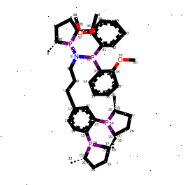 CC[C@@H]1CC[C@@H](C)P1N(CCCc1ccc(P2[C@@H](C)CC[C@@H]2C)c(P2[C@@H](C)CC[C@@H]2C)c1)P(c1ccccc1OC)c1ccccc1OC